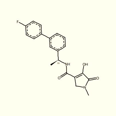 C[C@H](NC(=O)C1=C(O)C(=O)N(C)C1)c1cccc(-c2ccc(F)cc2)c1